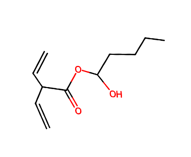 C=CC(C=C)C(=O)OC(O)CCCC